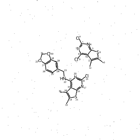 Cc1sc2nc(Cl)nc(Cl)c2c1C.Cc1sc2nc(Cl)nc(NCc3ccc4c(c3)OCO4)c2c1C